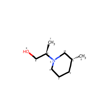 C[C@@H]1CCCN([C@H](C)CO)C1